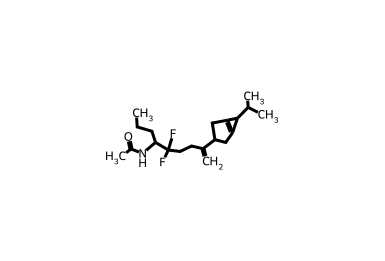 C=C(CCC(F)(F)C(CCC)NC(C)=O)C1CC2=C(C1)C2C(C)C